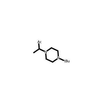 CC(=O)C(C)N1CCN(C(C)(C)C)CC1